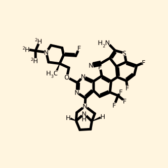 [2H]C([2H])([2H])N1CC/C(=C\F)[C@](C)(COc2nc(N3C[C@H]4CC[C@@H](C3)N4)c3cc(C(F)(F)F)c(-c4c(F)cc(F)c5sc(N)c(C#N)c45)c(F)c3n2)C1